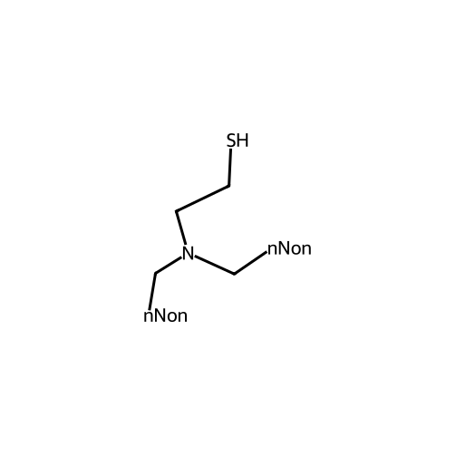 CCCCCCCCCCN(CCS)CCCCCCCCCC